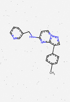 Cc1ccc(-c2cnn3ccc(NCc4cccnc4)nc23)cc1